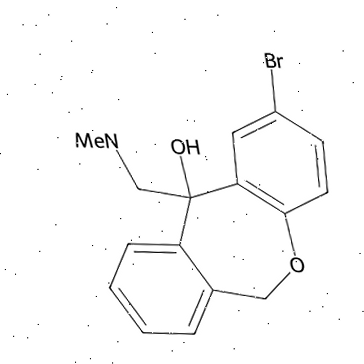 CNCC1(O)c2ccccc2COc2ccc(Br)cc21